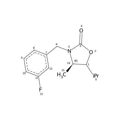 CC(C)C1OC(=O)N(Cc2cccc(F)c2)[C@@H]1C